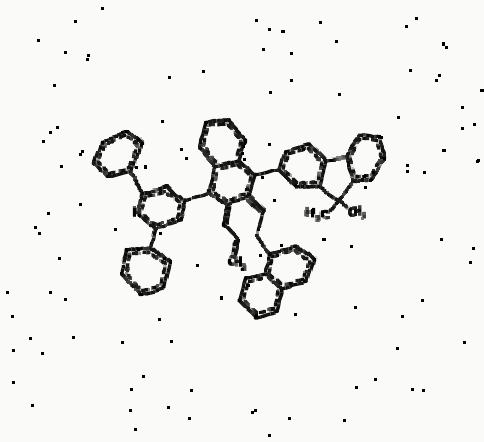 C=C/C=c1/c(-c2cc(-c3ccccc3)nc(-c3ccccc3)c2)c2ccccc2c(-c2ccc3c(c2)C(C)(C)c2ccccc2-3)/c1=C/Cc1cccc2ccccc12